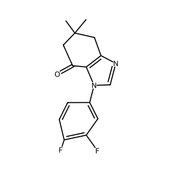 CC1(C)CC(=O)c2c(ncn2-c2ccc(F)c(F)c2)C1